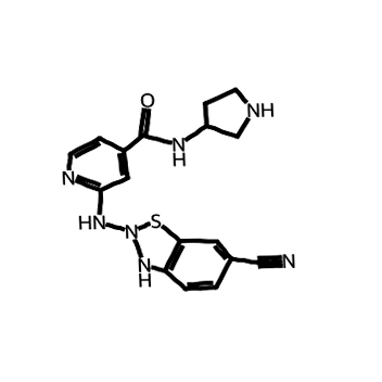 N#Cc1ccc2c(c1)SN(Nc1cc(C(=O)NC3CCNC3)ccn1)N2